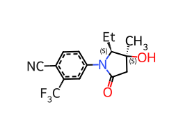 CC[C@@H]1N(c2ccc(C#N)c(C(F)(F)F)c2)C(=O)C[C@]1(C)O